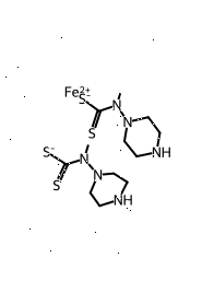 CN(C(=S)[S-])N1CCNCC1.CN(C(=S)[S-])N1CCNCC1.[Fe+2]